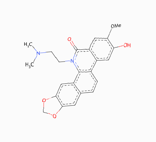 COc1cc2c(=O)n(CCN(C)C)c3c4cc5c(cc4ccc3c2cc1O)OCO5